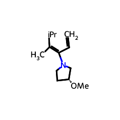 C=C/C(=C(/C)C(C)C)N1CC[C@@H](OC)C1